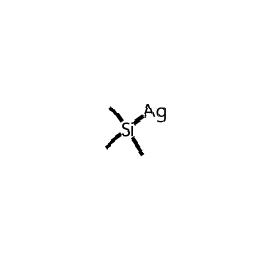 C[Si](C)(C)[Ag]